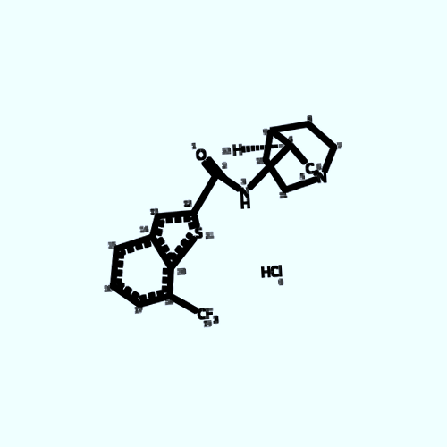 Cl.O=C(N[C@@H]1CN2CCC1CC2)c1cc2cccc(C(F)(F)F)c2s1